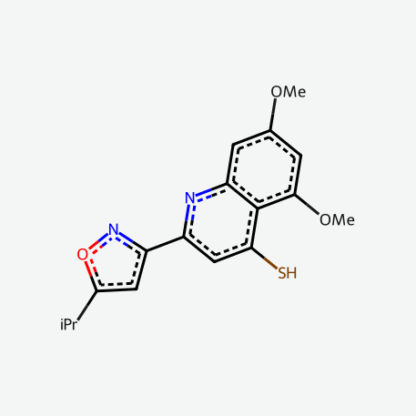 COc1cc(OC)c2c(S)cc(-c3cc(C(C)C)on3)nc2c1